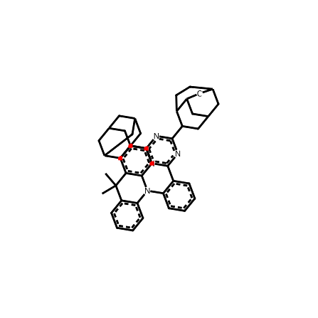 CC1(C)c2ccccc2N(c2ccccc2-c2nc(C3CC4CC5CCC3C(C5)C4)nc(C34CC5CC(CC(C5)C3)C4)n2)c2ccccc21